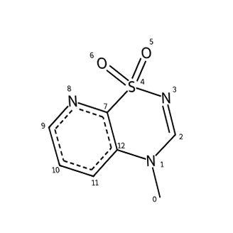 CN1C=NS(=O)(=O)c2ncccc21